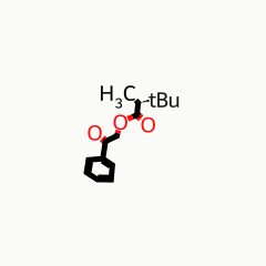 C[C@@H](C(=O)OCC(=O)c1ccccc1)C(C)(C)C